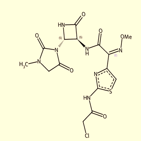 CO/N=C(\C(=O)N[C@@H]1C(=O)N[C@H]1N1C(=O)CN(C)C1=O)c1csc(NC(=O)CCl)n1